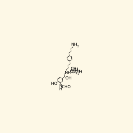 CC(=O)O.CC(=O)O.NCCCCc1ccc(CCCCNCC(O)c2ccc(O)c(NC=O)c2)cc1